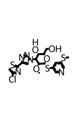 COC1C(n2cc(-c3nc(Cl)cs3)nn2)[C@@H](O)C(CO)O[C@@H]1Sc1cncc(SC)c1